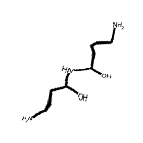 NCCC(O)NC(O)CCN